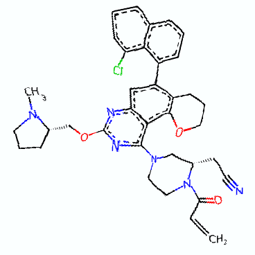 C=CC(=O)N1CCN(c2nc(OC[C@@H]3CCCN3C)nc3cc(-c4cccc5cccc(Cl)c45)c4c(c23)OCCC4)C[C@@H]1CC#N